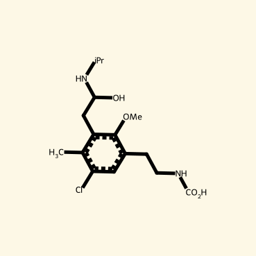 COc1c(CCNC(=O)O)cc(Cl)c(C)c1CC(O)NC(C)C